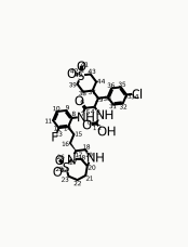 O=C(O)NC(C(=O)Nc1cccc(F)c1CC[C@H]1CNC2CCCS(=O)(=O)N1C2)C(c1ccc(Cl)cc1)C1CCS(=O)(=O)CC1